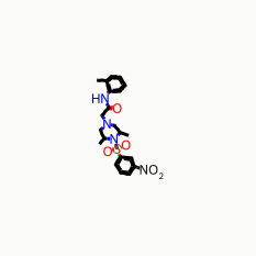 Cc1ccccc1NC(=O)CN1CC(C)N(S(=O)(=O)c2cccc([N+](=O)[O-])c2)C(C)C1